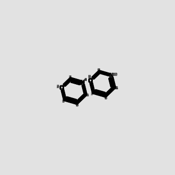 C1=COC=NC1.C1=COCN=C1